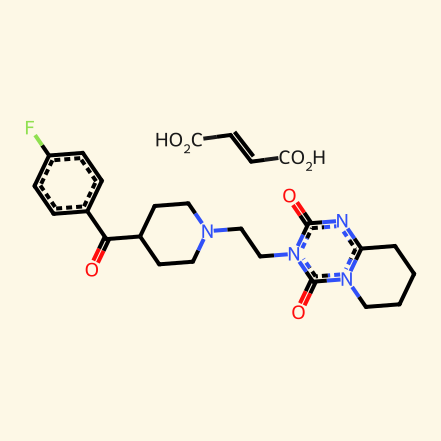 O=C(O)C=CC(=O)O.O=C(c1ccc(F)cc1)C1CCN(CCn2c(=O)nc3n(c2=O)CCCC3)CC1